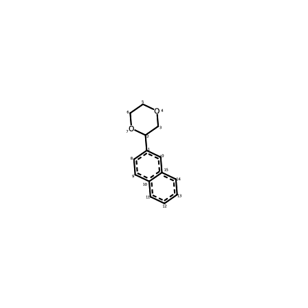 [c]1c(C2COCCO2)ccc2ccccc12